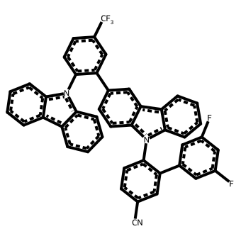 N#Cc1ccc(-n2c3ccccc3c3cc(-c4cc(C(F)(F)F)ccc4-n4c5ccccc5c5ccccc54)ccc32)c(-c2cc(F)cc(F)c2)c1